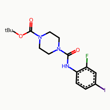 CC(C)(C)OC(=O)N1CCN(C(=O)Nc2ccc(I)cc2F)CC1